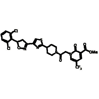 COC(=O)c1cc(C(F)(F)F)cn(CC(=O)N2CCC(c3nc(C4=NOC(c5c(Cl)cccc5Cl)C4)cs3)CC2)c1=O